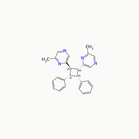 Cc1cncc([C@@H]2[C@H](c3ccccc3)[C@H](c3ccccc3)[C@H]2c2cncc(C)n2)n1